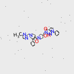 Cc1ccnc(CN2CC[C@@H](C(=O)N3CCC(O)(Cn4cnc5c(ccn5-c5ccccc5)c4=O)CC3)[C@H](c3ccccc3)C2)n1